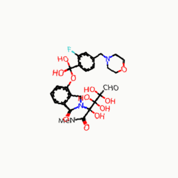 CNC(=O)C(O)(N1Cc2c(OC(O)(O)c3ccc(CN4CCOCC4)cc3F)cccc2C1=O)C(O)(O)C(O)(O)C=O